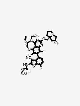 C=C[C@H]1COc2c(Cl)c(-c3ccc(F)c4sc(NC(=O)OC(C)(C)C)c(C#N)c34)c(F)c3nc(OC[C@@]45CCCN4C[C@H](F)C5)nc(c23)N1CC(F)(F)F